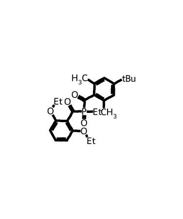 CCOc1cccc(OCC)c1C(=O)P(=O)(CC)C(=O)c1c(C)cc(C(C)(C)C)cc1C